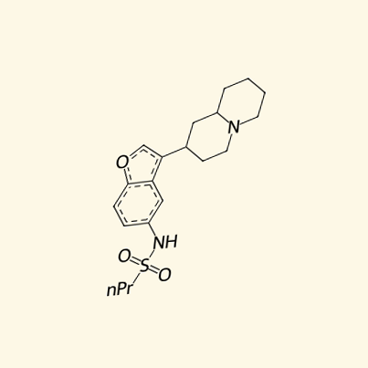 CCCS(=O)(=O)Nc1ccc2occ(C3CCN4CCCCC4C3)c2c1